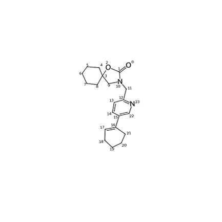 O=C1OC2(CCCCC2)CN1Cc1ccc(C2=CCCCC2)cn1